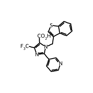 O=C(O)c1c(C(F)(F)F)nc(-c2cccnc2)n1Cc1csc2ccccc12